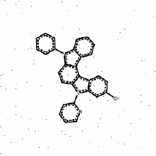 Oc1ccc2c3c4c5ccccc5n(-c5ccccc5)c4ccc3n(-c3ccccn3)c2c1